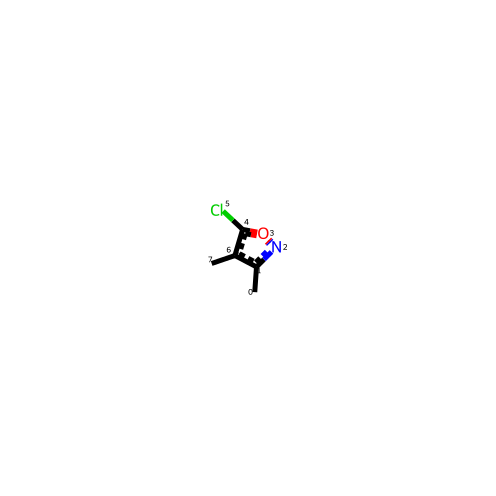 Cc1noc(Cl)c1C